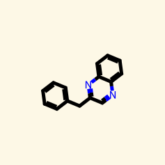 c1ccc(Cc2cnc3ccccc3n2)cc1